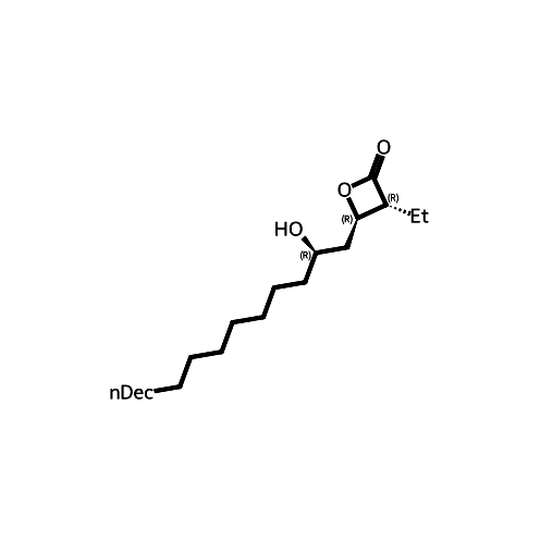 CCCCCCCCCCCCCCCCC[C@@H](O)C[C@H]1OC(=O)[C@@H]1CC